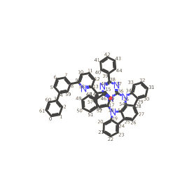 c1ccc(-c2cccc(-c3cccc(-c4ccc(-n5c6ccccc6c6ccc7c8ccccc8n(-c8nc(-c9ccccc9)nc(-c9ccccc9)n8)c7c65)cc4)n3)c2)cc1